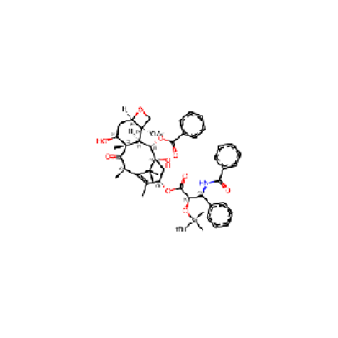 CC(=O)O[C@@]12CO[C@@H]1C[C@H](O)[C@@]1(C)C(=O)[C@H](C)C3=C(C)[C@@H](OC(=O)[C@H](O[Si](C)(C)C(C)(C)C)[C@@H](NC(=O)c4ccccc4)c4ccccc4)C[C@@](O)([C@@H](OC(=O)c4ccccc4)[C@H]21)C3(C)C